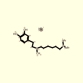 Br.Br.CCCN(CCC)CCCCCCN(C)CCc1ccc(O)c(O)c1